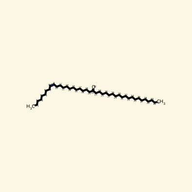 CCCCCCCC/C=C\CCCCCCCCCCCC(=O)CCCCCCCCCCCCCCCCCCCC